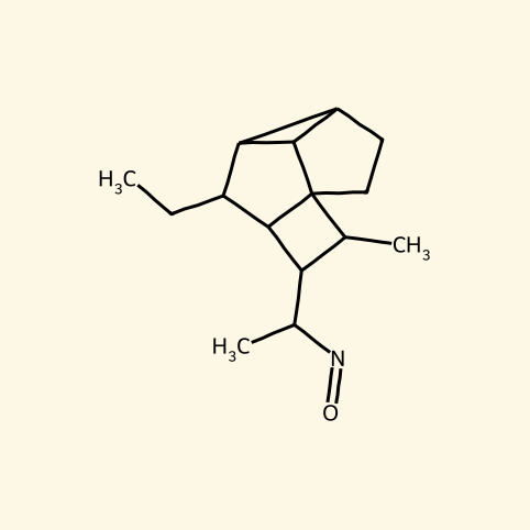 CCC1C2C3CCC4(C(C)C(C(C)N=O)C14)C32